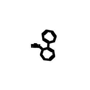 CCCCC1CCC=CC=C1C1=CC=CC=CC1